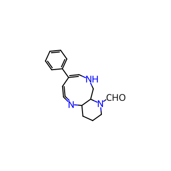 O=CN1CCCC2N=C=C/C(c3ccccc3)=C\NCC21